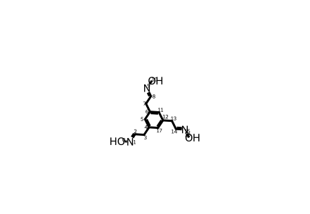 ON=CCc1cc(CC=NO)cc(CC=NO)c1